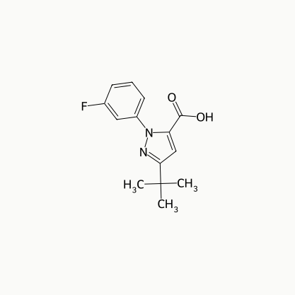 CC(C)(C)c1cc(C(=O)O)n(-c2cccc(F)c2)n1